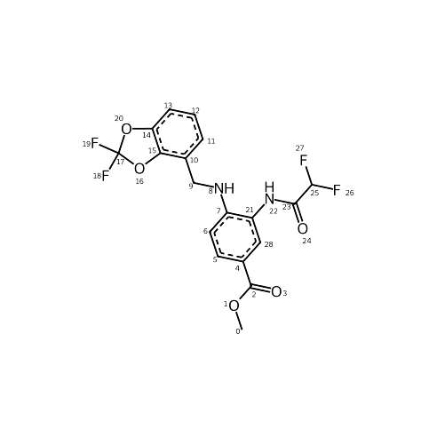 COC(=O)c1ccc(NCc2cccc3c2OC(F)(F)O3)c(NC(=O)C(F)F)c1